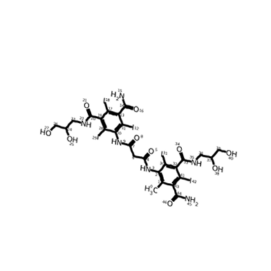 Cc1c(NC(=O)CC(=O)Nc2c(I)c(C(N)=O)c(I)c(C(=O)NCC(O)CO)c2I)c(I)c(C(=O)NCC(O)CO)c(I)c1C(N)=O